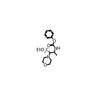 CCOC(=O)C(C(C)NC(=O)Oc1ccccc1)N1CCOCC1